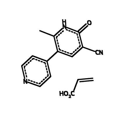 C=CC(=O)O.Cc1[nH]c(=O)c(C#N)cc1-c1ccncc1